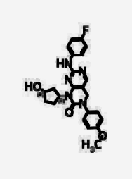 COc1ccc(N2Cc3cnc(Nc4ccc(F)cc4)nc3N([C@@H]3CC[C@@H](O)C3)C2=O)cc1